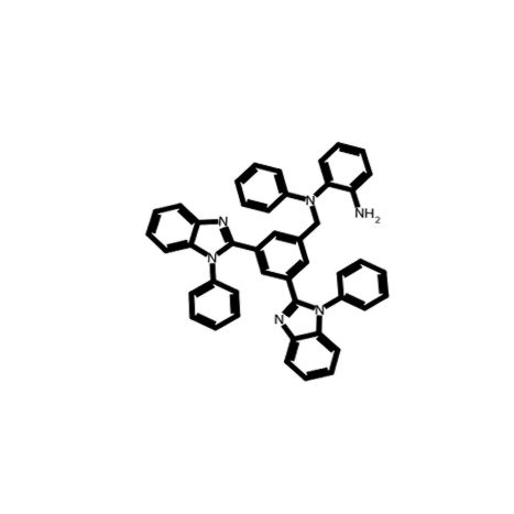 Nc1ccccc1N(Cc1cc(-c2nc3ccccc3n2-c2ccccc2)cc(-c2nc3ccccc3n2-c2ccccc2)c1)c1ccccc1